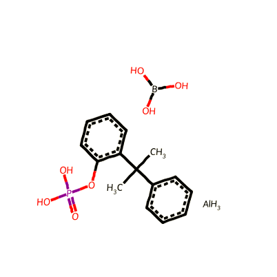 CC(C)(c1ccccc1)c1ccccc1OP(=O)(O)O.OB(O)O.[AlH3]